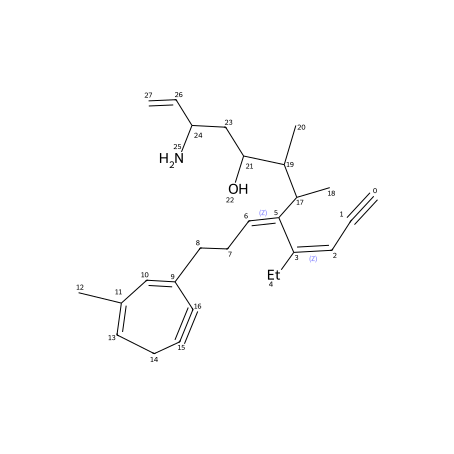 C#C/C=C(CC)\C(=C/CCC1=CC(C)=CCC#C1)C(C)C(C)C(O)CC(N)C=C